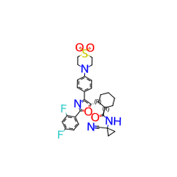 N#CC1(NC(=O)[C@@H]2CCCC[C@H]2c2oc(-c3ccc(F)cc3F)nc2-c2ccc(N3CCS(=O)(=O)CC3)cc2)CC1